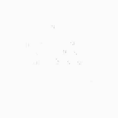 COc1ccc(Nc2nc(NCCc3ccccc3F)nc(Nc3ccc4ncccc4c3)n2)cc1OC